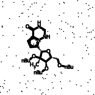 CCCCOC[C@H]1O[C@@H](c2ccc3n2NCNC3=O)[C@](C)(OCCCC)[C@@H]1OCCCC